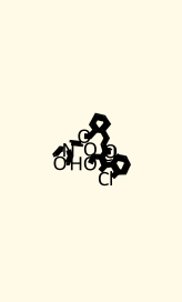 CC(=C(C(=O)O)C(=O)CCc1ccccc1COCCN1CCOCC1)c1c(Cl)cccc1Cl